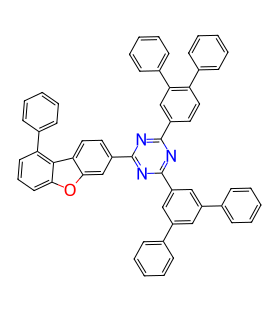 c1ccc(-c2cc(-c3ccccc3)cc(-c3nc(-c4ccc(-c5ccccc5)c(-c5ccccc5)c4)nc(-c4ccc5c(c4)oc4cccc(-c6ccccc6)c45)n3)c2)cc1